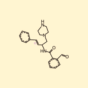 O=Cc1ccccc1C(=O)NC(/C=C/c1ccccc1)CN1CCNCC1